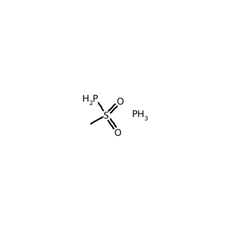 CS(=O)(=O)P.P